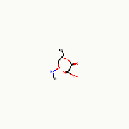 CCCNOCCC(C)=O.O=C(O)C(=O)O